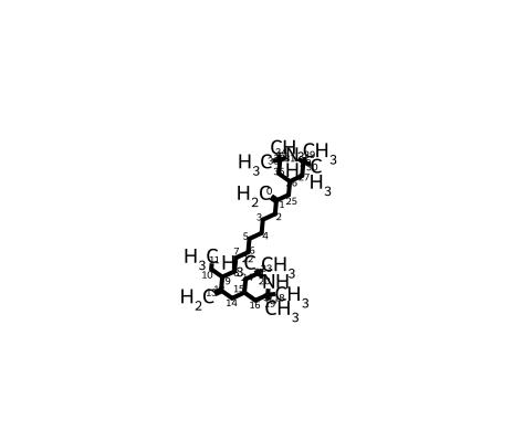 C=C(CCCCCCCC(CC)C(=C)CC1CC(C)(C)NC(C)(C)C1)CC1CC(C)(C)NC(C)(C)C1